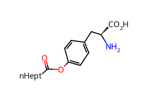 CCCCCCCC(=O)Oc1ccc(C[C@H](N)C(=O)O)cc1